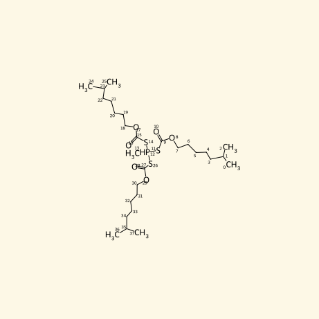 CC(C)CCCCCOC(=O)S[PH](C)(SC(=O)OCCCCCC(C)C)SC(=O)OCCCCCC(C)C